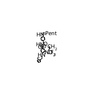 C=CCC(F)(F)F.CCCCCNc1ccc(C(=O)NS(=O)(=O)c2ccc(NCCc3cccs3)c([N+](=O)[O-])c2)cc1